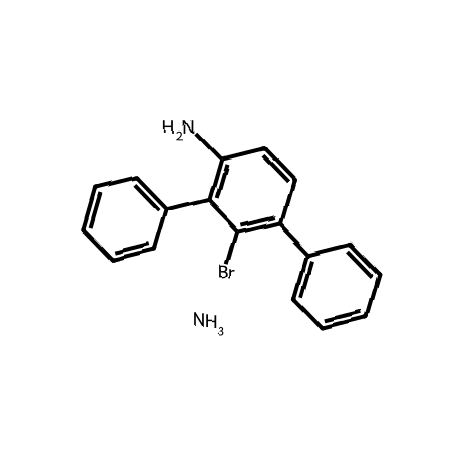 N.Nc1ccc(-c2ccccc2)c(Br)c1-c1ccccc1